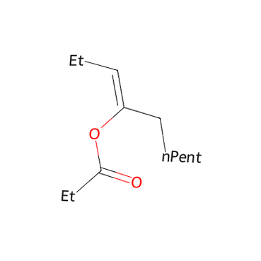 CCC=C(CCCCCC)OC(=O)CC